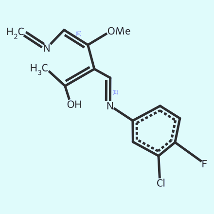 C=N/C=C(/OC)C(/C=N/c1ccc(F)c(Cl)c1)=C(C)O